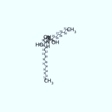 CCCCCCCCCCCCCCCC(O)C(CO)NC(=O)C(O)CCCCCCCC